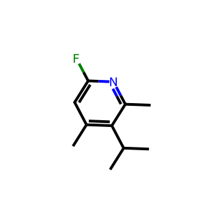 Cc1cc(F)nc(C)c1C(C)C